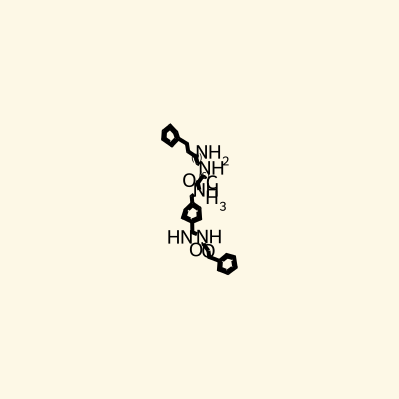 C[C@H](NC[C@H](N)CCc1ccccc1)C(=O)NCc1ccc(C(=N)NC(=O)OCc2ccccc2)cc1